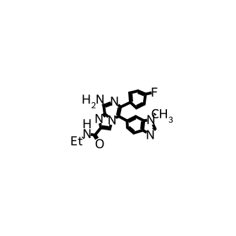 CCNC(=O)c1cn2c(-c3ccc4ncn(C)c4c3)c(-c3ccc(F)cc3)nc(N)c2n1